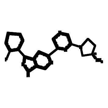 N[C@@H]1CCN(c2cncc(-c3cc4c(-c5ccccc5F)n[nH]c4cn3)n2)C1